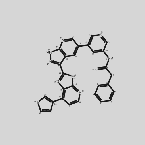 O=C(Cc1ccccc1)Nc1cncc(-c2cnc3[nH]nc(-c4nc5c(-c6ccsc6)ccnc5[nH]4)c3c2)c1